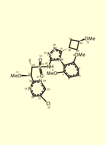 COc1cccc(OC)c1-n1c(NS(=O)(=O)[C@@H](C)[C@H](OC)c2ncc(Cl)cn2)nnc1[C@H]1C[C@H](OC)C1